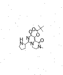 CN1CCn2c(C3CCCN3)nc(=O)c(OC(=O)C(C)(C)C)c2C1=O